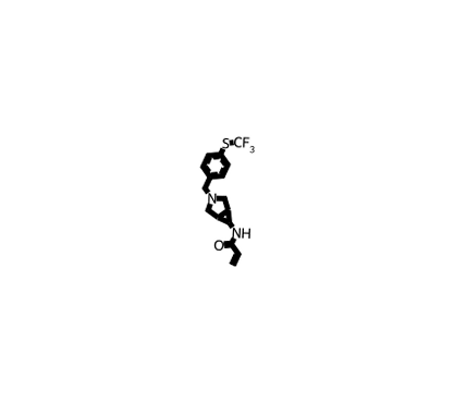 C=CC(=O)NC1C2CN(Cc3ccc(SC(F)(F)F)cc3)CC21